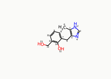 Cc1[nH]cnc1Cc1cccc(CO)c1O